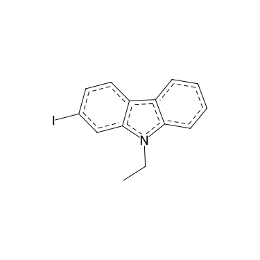 CCn1c2ccccc2c2ccc(I)cc21